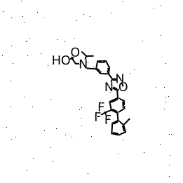 Cc1ccccc1-c1ccc(-c2nc(-c3cccc(CN(CC(=O)O)C(C)C)c3)no2)cc1C(F)(F)F